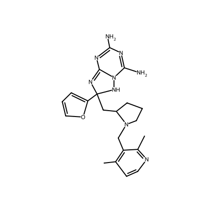 Cc1ccnc(C)c1CN1CCCC1CC1(c2ccco2)N=C2N=C(N)N=C(N)N2N1